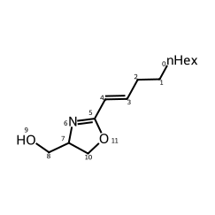 CCCCCCCCC=CC1=NC(CO)CO1